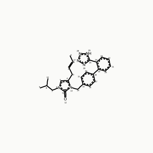 CC=CCc1cn(CC(C)C)c(=O)n1Cc1ccc(-c2ccccc2-c2nnn[nH]2)cc1